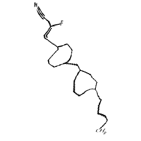 CCCCC1CCC(C2CCC(C=C(F)C#N)CC2)CC1